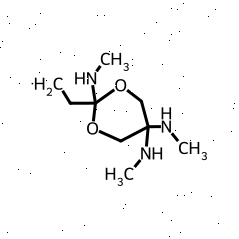 [CH2]CC1(NC)OCC(NC)(NC)CO1